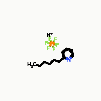 CCCCCCc1ccccn1.F[P-](F)(F)(F)(F)F.[H+]